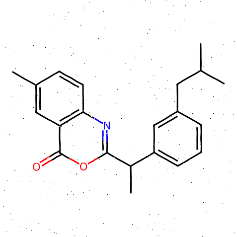 Cc1ccc2nc(C(C)c3cccc(CC(C)C)c3)oc(=O)c2c1